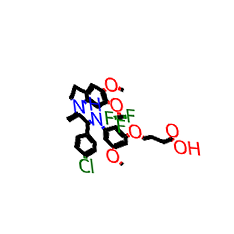 C=C(C(Nc1cc(OC)cc(OCCCC(=O)O)c1)c1ccc(Cl)cc1)N1CCc2cc(OC)c(OC(F)(F)F)cc21